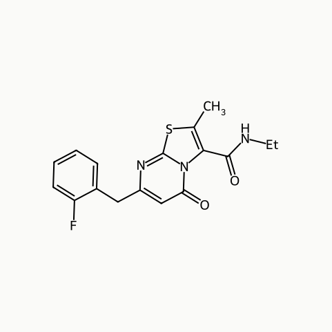 CCNC(=O)c1c(C)sc2nc(Cc3ccccc3F)cc(=O)n12